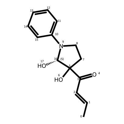 CC=CC(=O)C1(O)CCN(c2ccccc2)[C@H]1O